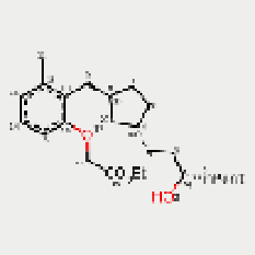 CCCCC[C@H](O)CC[C@H]1CC[C@H](Cc2c(C)cccc2OCC(=O)OCC)C1